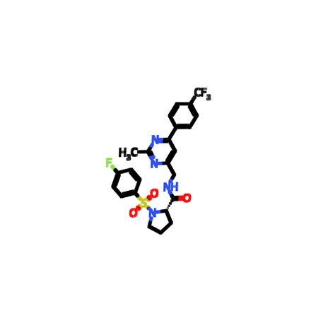 Cc1nc(CNC(=O)[C@@H]2CCCN2S(=O)(=O)c2ccc(F)cc2)cc(-c2ccc(C(F)(F)F)cc2)n1